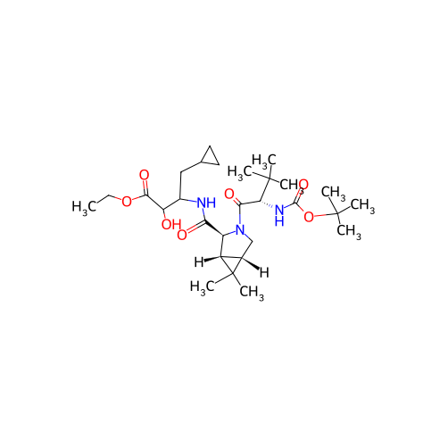 CCOC(=O)C(O)C(CC1CC1)NC(=O)[C@@H]1[C@@H]2[C@H](CN1C(=O)[C@@H](NC(=O)OC(C)(C)C)C(C)(C)C)C2(C)C